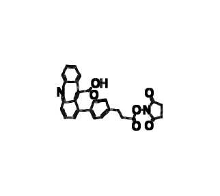 O=C(CCc1ccc(-c2cccc3nc4ccccc4c(C(=O)O)c23)cc1)ON1C(=O)CCC1=O